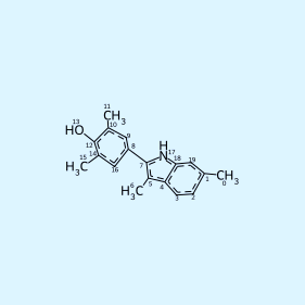 Cc1ccc2c(C)c(-c3cc(C)c(O)c(C)c3)[nH]c2c1